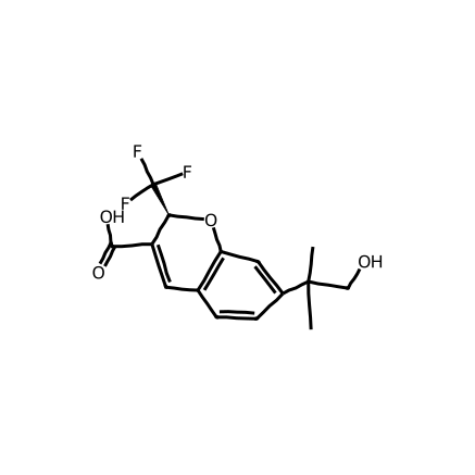 CC(C)(CO)c1ccc2c(c1)O[C@H](C(F)(F)F)C(C(=O)O)=C2